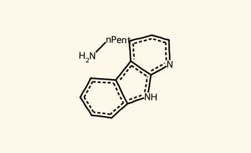 CCCCCN.c1ccc2c(c1)[nH]c1ncccc12